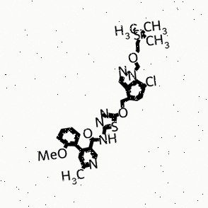 COc1ccccc1-c1cc(C)ncc1C(=O)Nc1nnc(OCc2ccc(Cl)c3c2cnn3COCC[Si](C)(C)C)s1